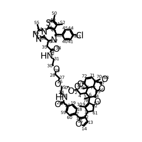 COC(=O)CC1C2(C)C3=C(C)C(c4ccoc4-c4ccc(C(=O)NCCOCCOCCNC(=O)CC5N=C(c6ccc(Cl)cc6)c6c(sc(C)c6C)-n6c(C)nnc65)cc4)CC3OC2C2OC(=O)C3(C)C=CC(=O)C1(C)C23